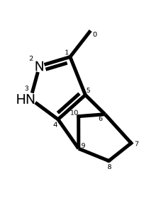 Cc1n[nH]c2c1C1CCC2C1